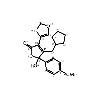 COc1ccc(C2(O)OC(=O)C(C3=COCO3)=C2CC2CCCC2)cc1